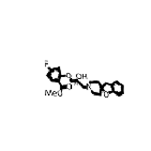 COC(=O)c1ccc(F)cc1OC[C@@H](O)CN1CCC2(CC1)Cc1ccccc1O2